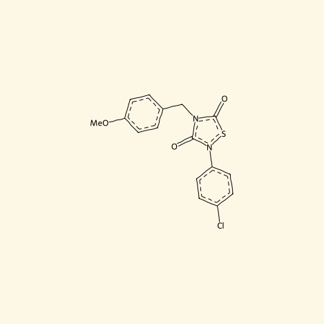 COc1ccc(Cn2c(=O)sn(-c3ccc(Cl)cc3)c2=O)cc1